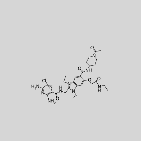 CCNC(=O)COc1cc2c(cc1C(=O)NC1CCN(C(C)=O)CC1)[n+](CC)c(CNC(=O)c1nc(Cl)c(N)nc1N)n2CC